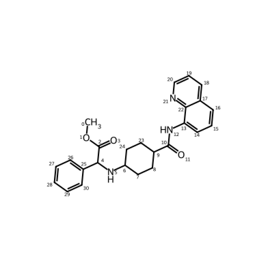 COC(=O)C(NC1CCC(C(=O)Nc2cccc3cccnc23)CC1)c1ccccc1